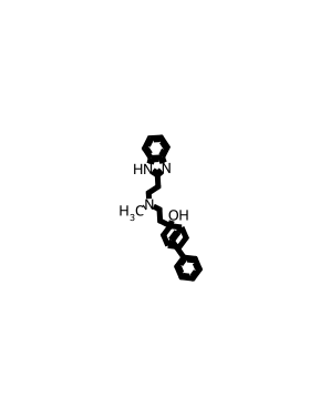 CN(CCc1nc2ccccc2[nH]1)CCC1(O)CC2CCC1C=C2c1ccccc1